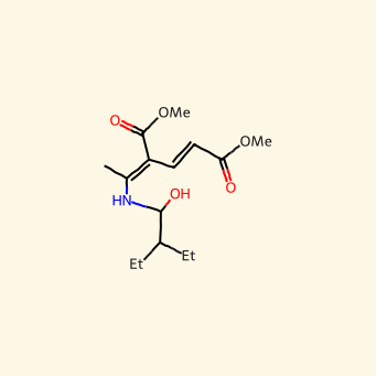 CCC(CC)C(O)NC(C)=C(C=CC(=O)OC)C(=O)OC